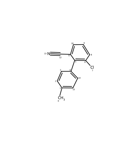 Cc1ccc(-c2c(Cl)cccc2C#N)cc1